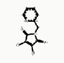 O=C1C(Cl)=C(Cl)C(=O)N1Cc1ccccn1